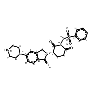 O=C1CC[C@H](N2Cc3cc(N4CCNCC4)ccc3C2=O)C(=O)N1OS(=O)(=O)c1ccccc1